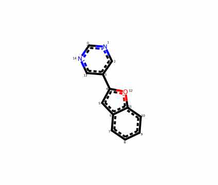 [c]1ncc(-c2cc3ccccc3o2)cn1